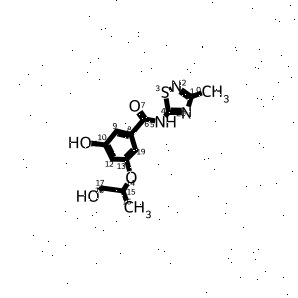 Cc1nsc(NC(=O)c2cc(O)cc(OC(C)CO)c2)n1